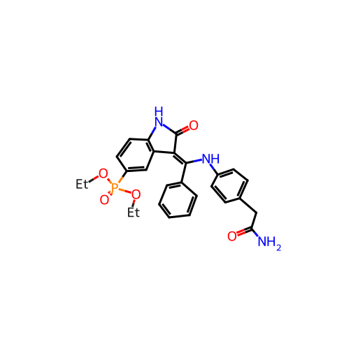 CCOP(=O)(OCC)c1ccc2c(c1)/C(=C(/Nc1ccc(CC(N)=O)cc1)c1ccccc1)C(=O)N2